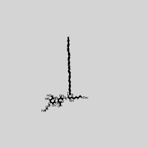 CC#CC#CC#CC#CC#CC#CC#CC#CC#CC#CC#CC#CC(=O)N[C@@H](COC1OC(CO)C(OC2OC(CO)C(O)C(OSOOO)C2O)C(O)C1O)[C@H](O)/C=C/CCCCCCCCCCCCC